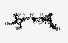 CCOc1ccc(C(=O)N2CCN(c3ccc(-c4ccccc4OCC)nc3Cc3ccc(S(=O)(=O)NCCCOc4cc(NCCOCCNC(=O)CN5CCN(CC(=O)OC(C)(C)C)CCN(CC(=O)OC(C)(C)C)CCN(CC(=O)OC(C)(C)C)CC5)cc(C(=O)O)c4)c([N+](=O)[O-])c3)[C@H](CC)C2)c(C(F)(F)F)c1